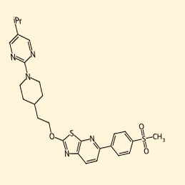 CC(C)c1cnc(N2CCC(CCOc3nc4ccc(-c5ccc(S(C)(=O)=O)cc5)nc4s3)CC2)nc1